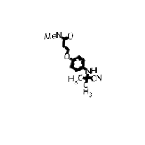 CNC(=O)CCOc1ccc(NC(C)(C)C#N)cc1